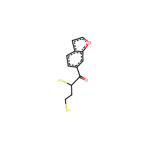 O=C(c1ccc2ccoc2c1)C(S)CCS